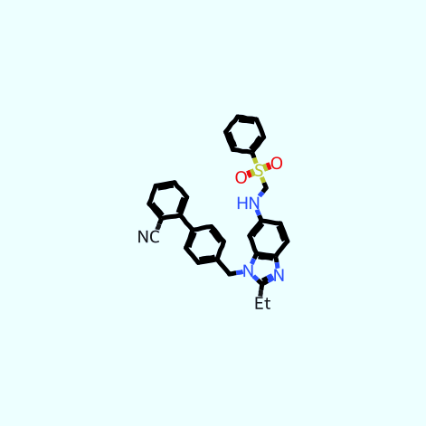 CCc1nc2ccc(NCS(=O)(=O)c3ccccc3)cc2n1Cc1ccc(-c2ccccc2C#N)cc1